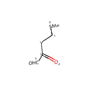 CSCCC(=O)C=O